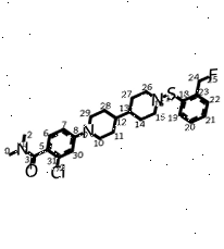 CN(C)C(=O)c1ccc(N2CCC(C3CCN(Sc4ccccc4CF)CC3)CC2)cc1Cl